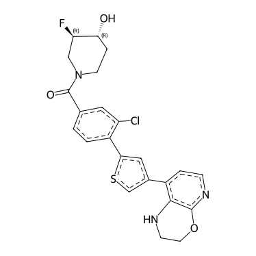 O=C(c1ccc(-c2cc(-c3ccnc4c3NCCO4)cs2)c(Cl)c1)N1CC[C@@H](O)[C@H](F)C1